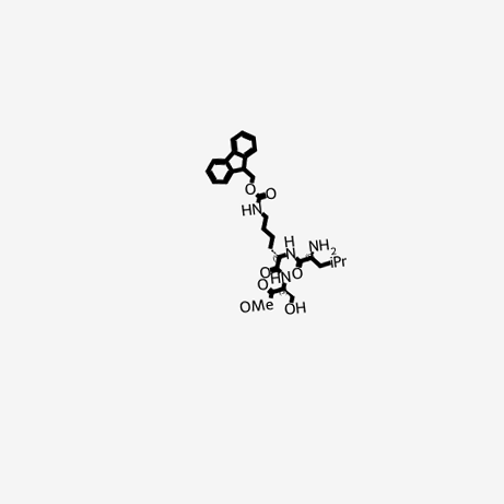 COC(=O)[C@H](CO)NC(=O)[C@H](CCCCNC(=O)OCC1c2ccccc2-c2ccccc21)NC(=O)[C@@H](N)CC(C)C